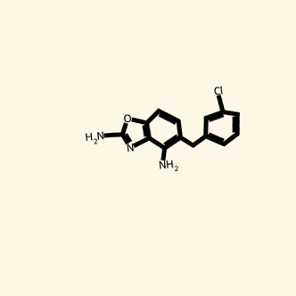 Nc1nc2c(N)c(Cc3cccc(Cl)c3)ccc2o1